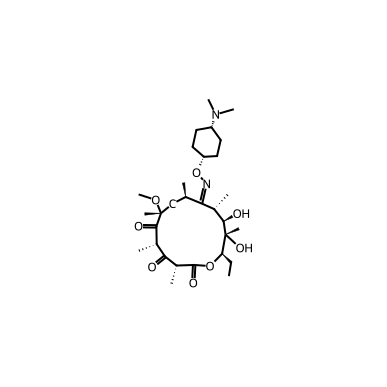 CC[C@H]1OC(=O)[C@H](C)C(=O)[C@H](C)C(=O)[C@](C)(OC)C[C@@H](C)/C(=N\O[C@H]2CC[C@@H](N(C)C)CC2)[C@H](C)[C@@H](O)[C@]1(C)O